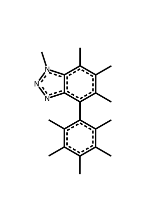 Cc1c(C)c(C)c(-c2c(C)c(C)c(C)c3c2nnn3C)c(C)c1C